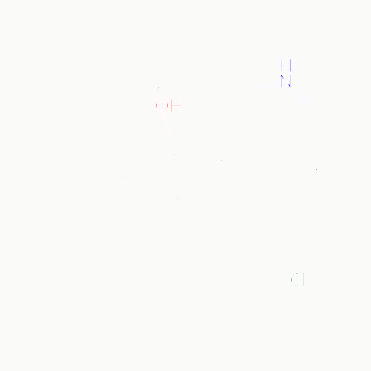 CCCC(O)(c1cccc(Cl)c1)C1CCCNC1